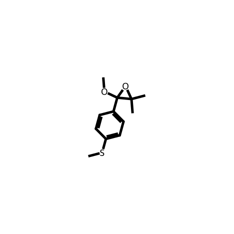 COC1(c2ccc(SC)cc2)OC1(C)C